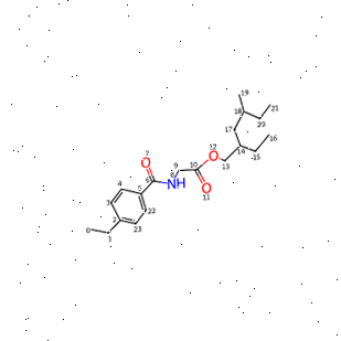 CCc1ccc(C(=O)NCC(=O)OCC(CC)CC(C)CC)cc1